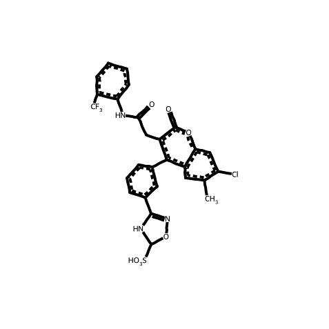 Cc1cc2c(-c3cccc(C4=NOC(S(=O)(=O)O)N4)c3)c(CC(=O)Nc3ccccc3C(F)(F)F)c(=O)oc2cc1Cl